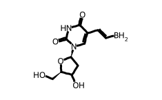 B/C=C/c1cn([C@H]2CC(O)[C@@H](CO)O2)c(=O)[nH]c1=O